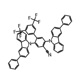 N#Cc1cc(-n2c3ccccc3c3cc(-c4ccccc4)ccc32)c(-c2cc(C(F)(F)F)cc(C(F)(F)F)c2)cc1-n1c2ccccc2c2cc(-c3ccccc3)ccc21